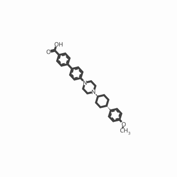 COc1ccc([C@H]2CC[C@@H](N3CCN(c4ccc(-c5ccc(C(=O)O)cc5)cc4)CC3)CC2)cc1